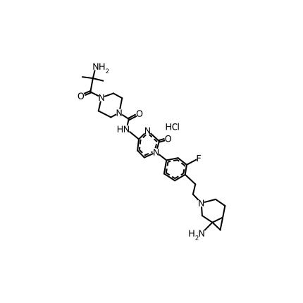 CC(C)(N)C(=O)N1CCN(C(=O)Nc2ccn(-c3ccc(CCN4CCC5CC5(N)C4)c(F)c3)c(=O)n2)CC1.Cl